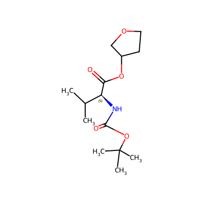 CC(C)[C@H](NC(=O)OC(C)(C)C)C(=O)OC1CCOC1